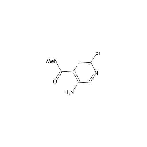 CNC(=O)c1cc(Br)ncc1N